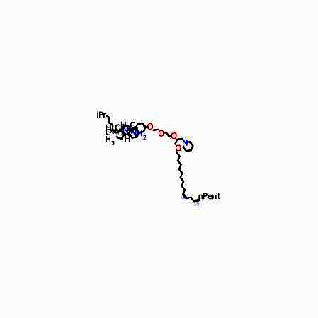 CCCCC/C=C\C/C=C\CCCCCCCCCCOCC(CN1CCCCC1)OCCOCCO[C@H]1CC[C@@]2(C)C(=CC[C@@H]3[C@]2(N)CC[C@]2(C)[C@@H]([C@H](C)CCCC(C)C)CC[C@@]32N)C1